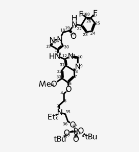 CCN(CCCOc1cc2ncnc(Nc3cnn(CC(=O)Nc4cccc(F)c4F)c3)c2cc1OC)CCOP(=O)(OC(C)(C)C)OC(C)(C)C